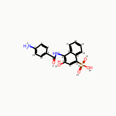 Nc1ccc(C(=O)Nc2c(O)cc(S(=O)(=O)O)c3ccccc23)cc1